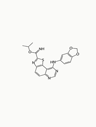 CC(C)OC(=N)c1nc2ccc3ncnc(Nc4ccc5c(c4)OCO5)c3c2s1